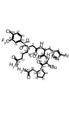 CC(=O)c1cn(C[C@H](NC(=O)CN([C@@H](CCC(N)=O)C(=O)O)S(=O)(=O)c2ccc(Cl)c(C(F)(F)F)c2)C(=O)N[C@H](C(=O)N2CCC[C@H]2CC(N)=O)C(C)(C)C)nn1